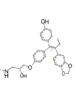 CC/C(=C(\c1ccc(O)cc1)c1ccc(OCC(O)CNC)cc1)c1ccc2c(c1)OCO2